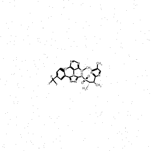 COc1ncnc(O)c1-n1c(NS(=O)(=O)[C@@H](C)[C@H](C)c2ncc(C)cn2)nnc1-c1c#ccc(C(F)(F)F)c1